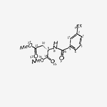 CCc1cccc(C(=O)N[C@@H](CC(=O)OC)C(=O)OC)c1